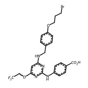 O=C(O)c1ccc(Nc2nc(NCc3ccc(OCCCBr)cc3)cc(OCC(F)(F)F)n2)cc1